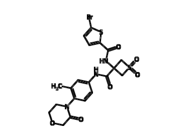 Cc1cc(NC(=O)C2(NC(=O)c3ccc(Br)s3)CS(=O)(=O)C2)ccc1N1CCOCC1=O